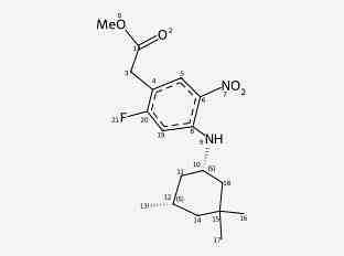 COC(=O)Cc1cc([N+](=O)[O-])c(N[C@H]2C[C@@H](C)CC(C)(C)C2)cc1F